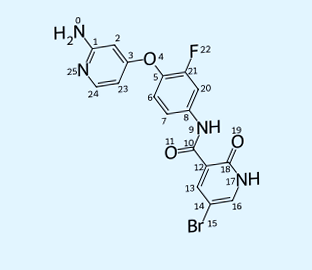 Nc1cc(Oc2ccc(NC(=O)c3cc(Br)c[nH]c3=O)cc2F)ccn1